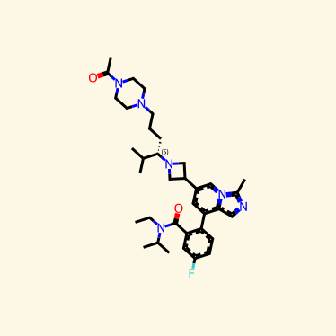 CCN(C(=O)c1cc(F)ccc1-c1cc(C2CN([C@@H](CCCN3CCN(C(C)=O)CC3)C(C)C)C2)cn2c(C)ncc12)C(C)C